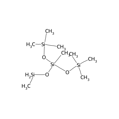 C[SiH2]O[Si](C)(O[Si](C)(C)C)O[Si](C)(C)C